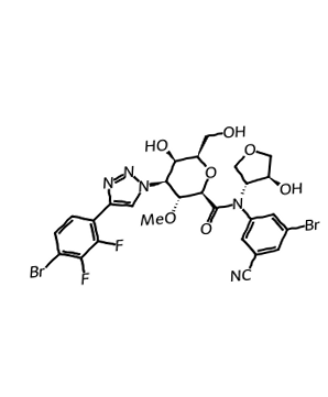 CO[C@@H]1[C@@H](n2cc(-c3ccc(Br)c(F)c3F)nn2)[C@@H](O)[C@@H](CO)O[C@H]1C(=O)N(c1cc(Br)cc(C#N)c1)[C@@H]1COC[C@H]1O